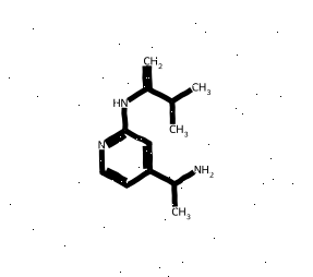 C=C(Nc1cc(C(C)N)ccn1)C(C)C